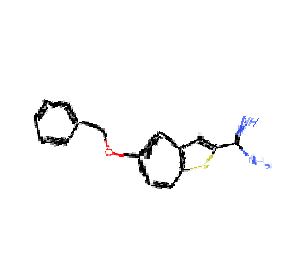 N=C(N)c1cc2cc(OCc3ccccc3)ccc2s1